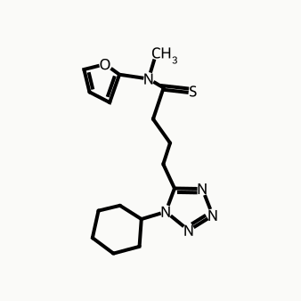 CN(C(=S)CCCc1nnnn1C1CCCCC1)c1ccco1